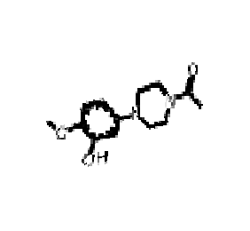 COc1ccc(N2CCN(C(C)=O)CC2)cc1O